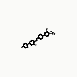 CCOc1ccc(-c2ccc(/C=C/c3ccc(-c4ccc(C)cc4)c(F)c3F)cc2)cc1F